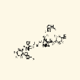 COCCCn1c(CCCCC(=O)NCc2ccccc2OC)nnc1SCc1ccc(F)cc1